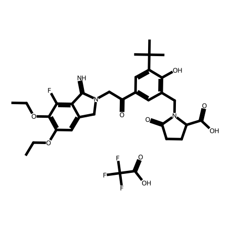 CCOc1cc2c(c(F)c1OCC)C(=N)N(CC(=O)c1cc(CN3C(=O)CCC3C(=O)O)c(O)c(C(C)(C)C)c1)C2.O=C(O)C(F)(F)F